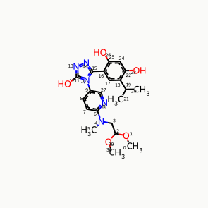 COC(CN(C)c1ccc(-n2c(O)nnc2-c2cc(C(C)C)c(O)cc2O)cn1)OC